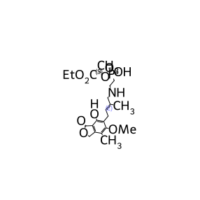 CCOC(=O)[C@H](C)OP(=O)(O)CCNC/C(C)=C/Cc1c(O)c2c(c(C)c1OC)COC2=O